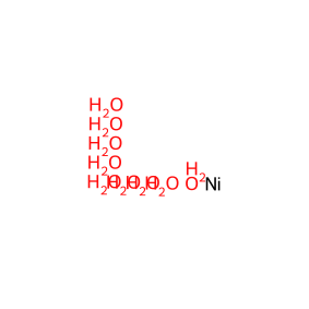 O.O.O.O.O.O.O.O.O.[Ni]